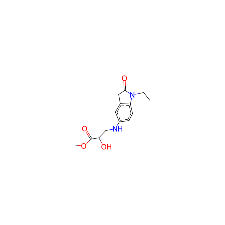 CCN1C(=O)Cc2cc(NCC(O)C(=O)OC)ccc21